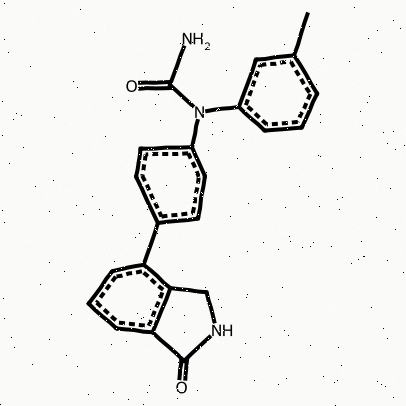 Cc1cccc(N(C(N)=O)c2ccc(-c3cccc4c3CNC4=O)cc2)c1